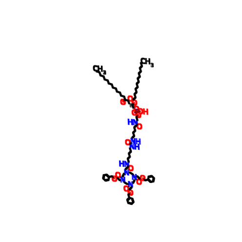 CCCCCCCCCCCCCCCC(=O)CC[C@@H](COP(=O)(O)OCCNC(=O)CCCCCNC(=O)NCCCCCCNC(=O)CN1CCN(CC(=O)OCc2ccccc2)CCN(CC(=O)OCc2ccccc2)CCN(CC(=O)OCc2ccccc2)CC1)OC(=O)CCCCCCCCCCCCCCC